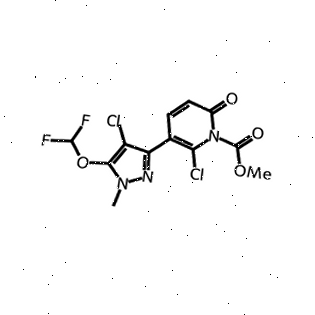 COC(=O)n1c(Cl)c(-c2nn(C)c(OC(F)F)c2Cl)ccc1=O